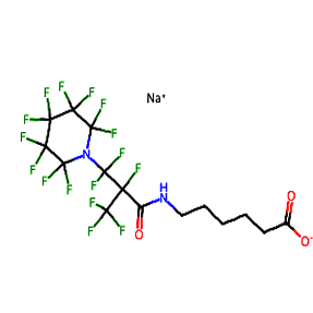 O=C([O-])CCCCCNC(=O)C(F)(C(F)(F)F)C(F)(F)N1C(F)(F)C(F)(F)C(F)(F)C(F)(F)C1(F)F.[Na+]